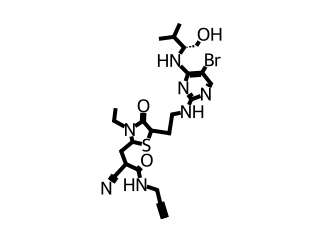 C#CCNC(=O)C(C#N)CC1SC(CCNc2ncc(Br)c(N[C@@H](CO)C(C)C)n2)C(=O)N1CC